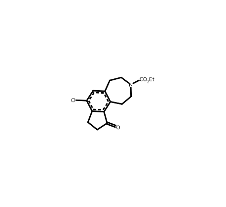 CCOC(=O)N1CCc2cc(Cl)c3c(c2CC1)C(=O)CC3